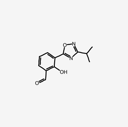 CC(C)c1noc(-c2cccc(C=O)c2O)n1